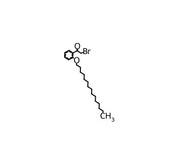 CCCCCCCCCCCCCCCOc1ccccc1C(=O)CBr